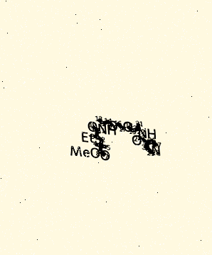 CCC(CC(C)(C)C(=O)OC)C(=O)NC(C)COCCOCC(C)NC(=O)c1ccncc1